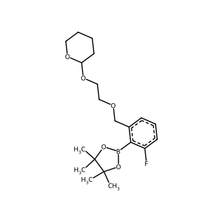 CC1(C)OB(c2c(F)cccc2COCCOC2CCCCO2)OC1(C)C